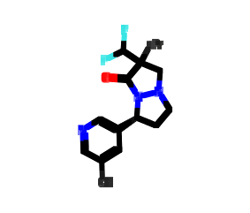 CCCC1(C(F)F)CN2CC[C@@H](c3cncc(C#N)c3)N2C1=O